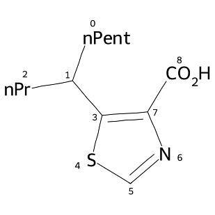 CCCCCC(CCC)c1scnc1C(=O)O